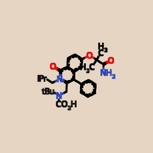 CC(C)Cn1c(CN(C(=O)O)C(C)(C)C)c(-c2ccccc2)c2cc(OC(C)(C)C(N)=O)ccc2c1=O